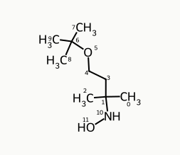 CC(C)(CCOC(C)(C)C)NO